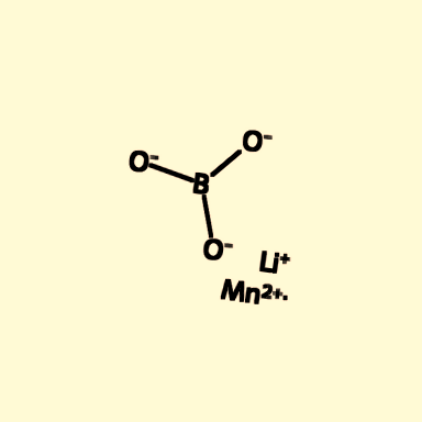 [Li+].[Mn+2].[O-]B([O-])[O-]